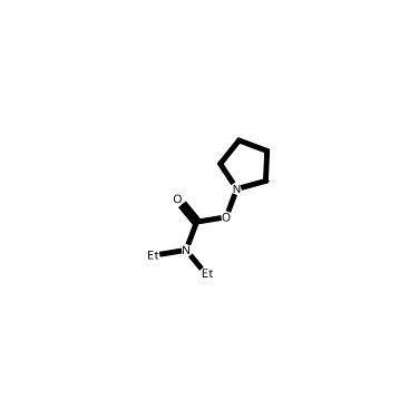 CCN(CC)C(=O)ON1[CH]CCC1